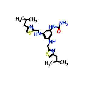 CC(C)Cc1csc(CNc2cc(NCc3nc(CC(C)C)cs3)cc(NC(N)=O)c2)n1